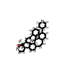 FC(F)(F)c1cc2n(n1)C1(c3cc(-c4ccncc4)ccc3C=Cc3ccc(-c4ccncc4)cc31)c1ccccc1-2